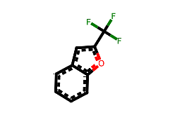 FC(F)(F)c1cc2[c]cccc2o1